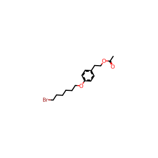 CC(=O)OCCc1ccc(OCCCCCCBr)cc1